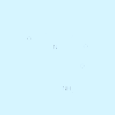 CCC(C(N)=O)N1C(=O)C=CC1=O